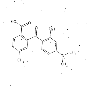 Cc1ccc(C(=O)O)c(C(=O)c2ccc(N(C)C)cc2O)c1